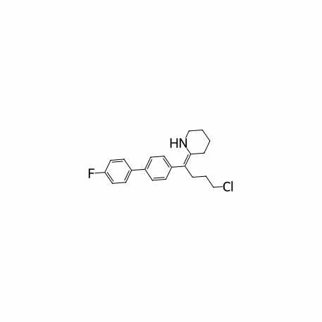 Fc1ccc(-c2ccc(C(CCCCl)=C3CCCCN3)cc2)cc1